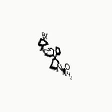 NC(=O)N1CCCC(c2ccccc2)(C2CCN(Cc3ccc(Br)cc3)CC2)C1